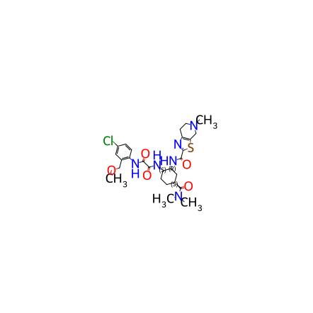 COCc1cc(Cl)ccc1NC(=O)C(=O)N[C@H]1CC[C@H](C(=O)N(C)C)C[C@H]1NC(=O)c1nc2c(s1)CN(C)CC2